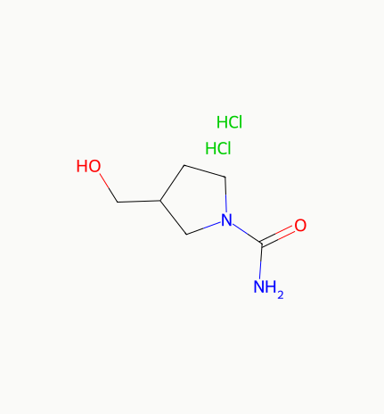 Cl.Cl.NC(=O)N1CCC(CO)C1